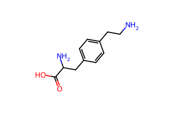 NCCc1ccc(CC(N)C(=O)O)cc1